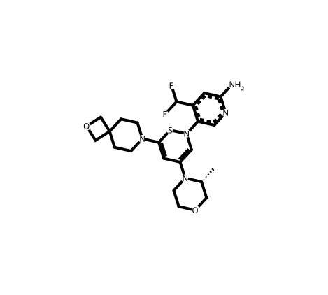 C[C@@H]1COCCN1C1=CN(c2cnc(N)cc2C(F)F)SC(N2CCC3(CC2)COC3)=C1